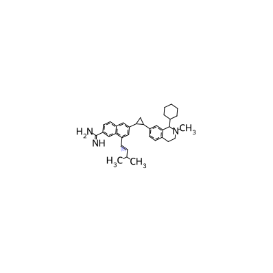 CC(C)/C=C/c1cc(C2CC2c2ccc3c(c2)C(C2CCCCC2)N(C)CC3)cc2ccc(C(=N)N)cc12